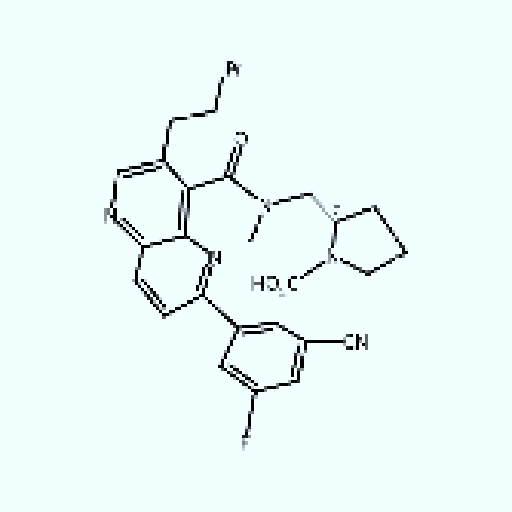 CC(C)CCc1cnc2ccc(-c3cc(F)cc(C#N)c3)nc2c1C(=O)N(C)C[C@@H]1CCCN1C(=O)O